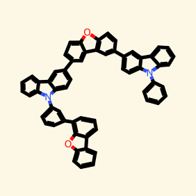 c1ccc(-n2c3ccccc3c3cc(-c4ccc5oc6ccc(-c7ccc8c(c7)c7ccccc7n8-c7cccc(-c8cccc9c8oc8ccccc89)c7)cc6c5c4)ccc32)cc1